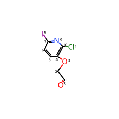 O=CCOc1ccc(I)nc1Cl